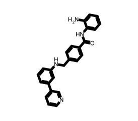 Nc1ccccc1NC(=O)c1ccc(CNc2cccc(-c3cccnc3)c2)cc1